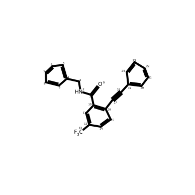 O=C(NCc1ccccc1)c1cc(C(F)(F)F)ccc1C#Cc1ccccc1